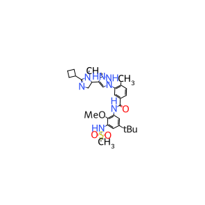 COc1c(NC(=O)c2ccc(C)c(N3C=C(C4CN=C(C5CCC5)N4C)NN3)c2)cc(C(C)(C)C)cc1NS(C)(=O)=O